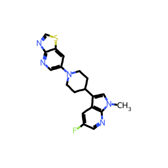 Cn1cc(C2CCN(c3cnc4ncsc4c3)CC2)c2cc(F)cnc21